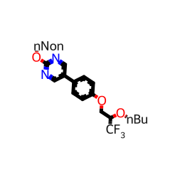 CCCCCCCCCOc1ncc(-c2ccc(OCC(OCCCC)C(F)(F)F)cc2)cn1